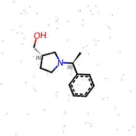 C[C@@H](c1ccccc1)N1CC[C@H](CO)C1